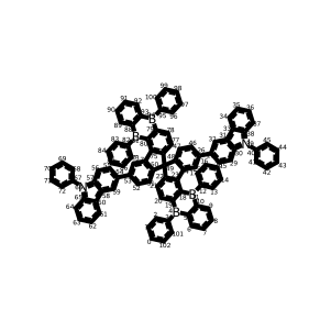 c1ccc(B2c3ccccc3B(c3ccccc3)c3c2ccc2c3-c3cc(-c4ccc5c(c4)c4ccccc4n5-c4ccccc4)ccc3C23c2ccc(-c4ccc5c(c4)c4ccccc4n5-c4ccccc4)cc2-c2c3ccc3c2B(c2ccccc2)c2ccccc2B3c2ccccc2)cc1